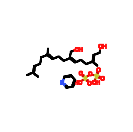 CC(C)=CCCC(C)=CCCC(=CCCC(C)=CCO)CO.O=S(=O)(O)OS(=O)(=O)O.c1ccncc1